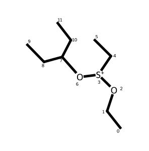 CCO[S+](CC)OC(CC)CC